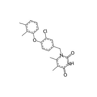 Cc1cccc(Oc2ccc(Cn3c(C)c(C)c(=O)[nH]c3=O)cc2Cl)c1C